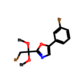 CCOC(CBr)(OCC)c1ncc(-c2cccc(Br)c2)o1